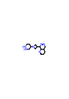 C1=NC2C(CC1)CN=NC2C1CN(C2CCNNC2)C1